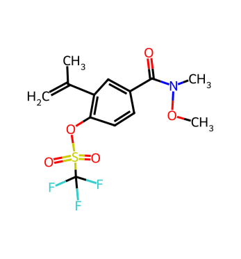 C=C(C)c1cc(C(=O)N(C)OC)ccc1OS(=O)(=O)C(F)(F)F